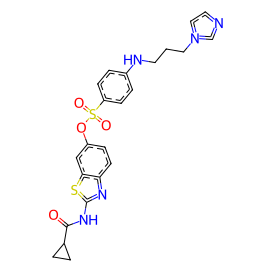 O=C(Nc1nc2ccc(OS(=O)(=O)c3ccc(NCCCn4ccnc4)cc3)cc2s1)C1CC1